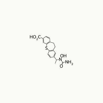 CC(c1ccc2c(c1)CCc1ccc(C(=O)O)cc1S2)N(O)C(N)=O